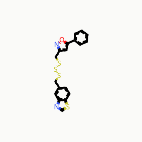 c1ccc(-c2cc(CSSSCc3ccc4scnc4c3)no2)cc1